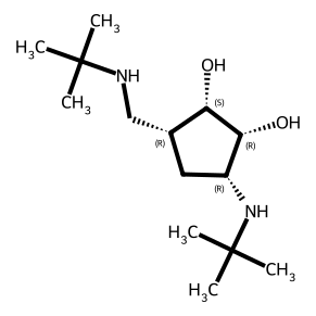 CC(C)(C)NC[C@H]1C[C@@H](NC(C)(C)C)[C@@H](O)[C@H]1O